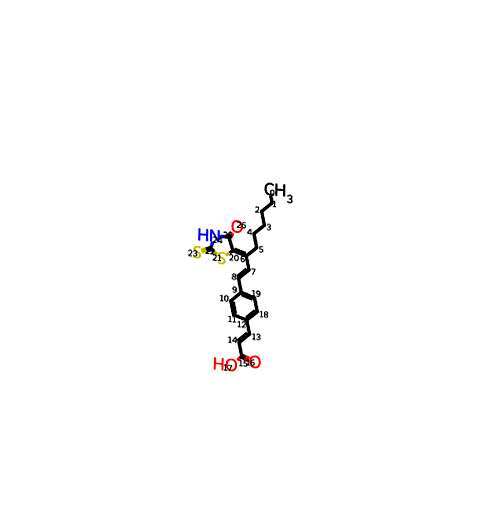 CCCCCCC(C=Cc1ccc(/C=C/C(=O)O)cc1)=C1SC(=S)NC1=O